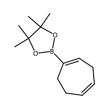 CC1(C)OB(C2=CCC=CCC2)OC1(C)C